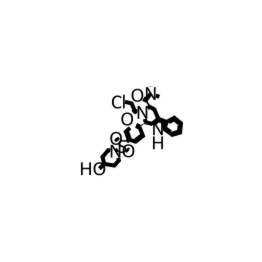 C=C(/C=C\C(=C/C)S(=O)(=O)N1CCC(O)CC1)[C@H]1c2[nH]c3ccccc3c2C[C@H](C(=O)N(C)C)N1C(=O)CCl